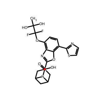 CC(O)(O)C(F)(F)Oc1ccc(-c2nccs2)c2oc(N3CC4CC(C3)N4C(=O)O)nc12